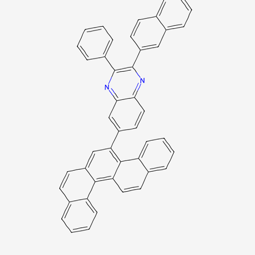 c1ccc(-c2nc3cc(-c4cc5ccc6ccccc6c5c5ccc6ccccc6c45)ccc3nc2-c2ccc3ccccc3c2)cc1